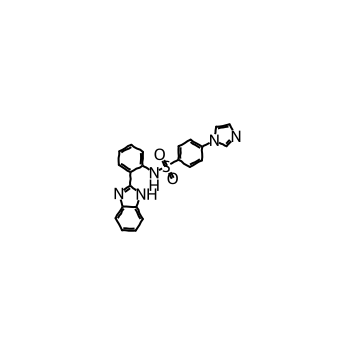 O=S(=O)(Nc1ccccc1-c1nc2ccccc2[nH]1)c1ccc(-n2ccnc2)cc1